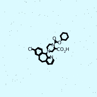 O=C(O)C1CN(C2c3ccc(Cl)cc3CCc3cccnc32)CCN1C(=O)OC1CCCCC1